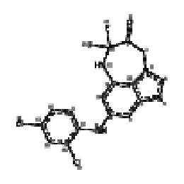 O=C1Cn2cnc3cc(Nc4ccc(Cl)cc4Cl)cc(c32)NC1(F)F